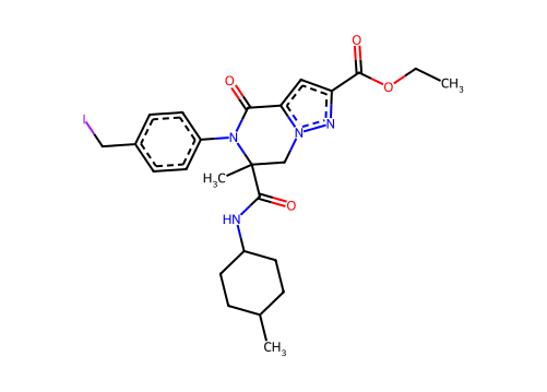 CCOC(=O)c1cc2n(n1)CC(C)(C(=O)NC1CCC(C)CC1)N(c1ccc(CI)cc1)C2=O